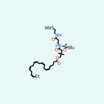 CC/C=C\C/C=C\C/C=C\C/C=C\C/C=C\CCCC(=O)OCC(C)(C)[C@@H](O[Si](C)(C)C(C)(C)C)C(=O)NCCC(=O)NCCSC